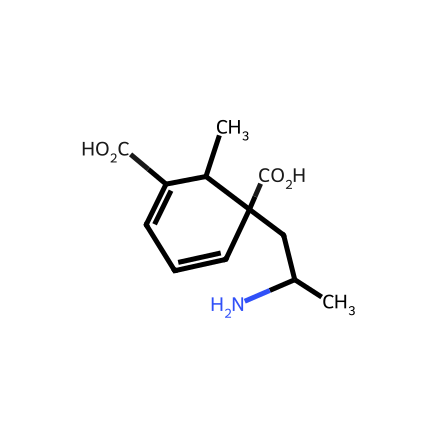 CC(N)CC1(C(=O)O)C=CC=C(C(=O)O)C1C